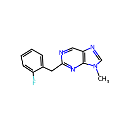 Cn1cnc2cnc(Cc3ccccc3F)nc21